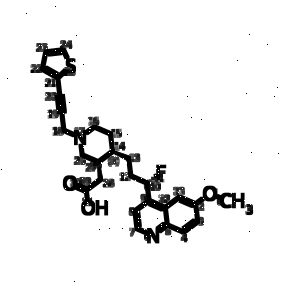 COc1ccc2nccc([C@@H](F)CC[C@@H]3CCN(CC#Cc4cccs4)C[C@@H]3CC(=O)O)c2c1